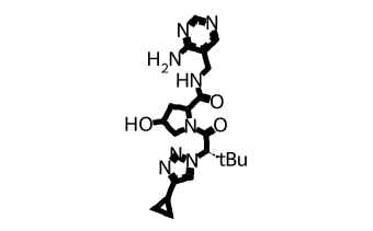 CC(C)(C)[C@@H](C(=O)N1CC(O)CC1C(=O)NCc1cncnc1N)n1cc(C2CC2)nn1